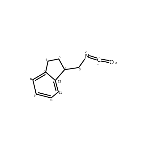 O=C=NCC1CCc2ccccc21